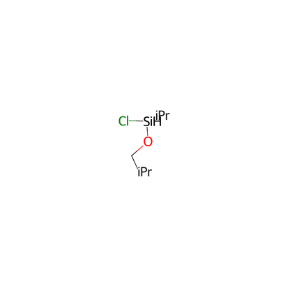 CC(C)CO[SiH](Cl)C(C)C